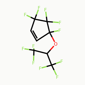 FC(F)(F)C(OC1(F)C=CC(F)(F)C1(F)F)C(F)(F)F